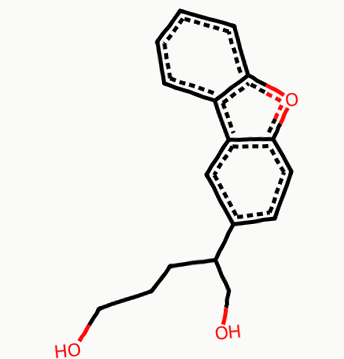 OCCCC(CO)c1ccc2oc3ccccc3c2c1